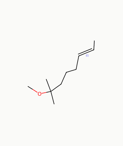 C/C=C/CCCC(C)(C)OC